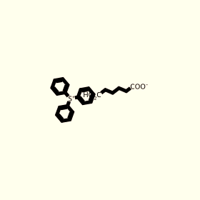 O=C([O-])CCCCC(=O)O.c1ccc([S+](c2ccccc2)c2ccccc2)cc1